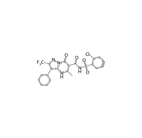 Cc1[nH]c2c(-c3ccccc3)c(C(F)(F)F)nn2c(=O)c1C(=O)NS(=O)(=O)c1cc#ccc1Cl